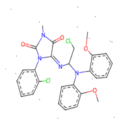 COc1ccccc1N(c1ccccc1OC)C(CCl)/N=C1\C(=O)N(C)C(=O)N1c1ccccc1Cl